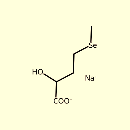 C[Se]CCC(O)C(=O)[O-].[Na+]